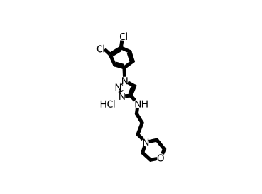 Cl.Clc1ccc(-n2cc(NCCCN3CCOCC3)nn2)cc1Cl